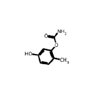 Cc1ccc(O)cc1OC(N)=O